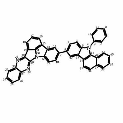 c1ccc(-n2c3ccc(-c4ccc5c(c4)c4cccc6c7nc8ccccc8nc7n5c46)cc3c3ccc4ccccc4c32)cc1